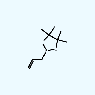 C=CCB1OC(C)(C)C(C)(I)O1